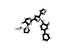 OC[C@H]1CCCN1c1nc(-c2cc(-c3ccon3)n(Cc3ccc(-c4ccccc4)cc3F)n2)ncc1F